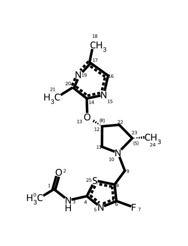 CC(=O)Nc1nc(F)c(CN2C[C@H](Oc3ncc(C)nc3C)C[C@@H]2C)s1